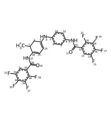 CC1CC(Nc2ccc(NC(=O)c3cc(F)c(F)c(F)c3F)cc2)=CC=C1NC(=O)c1cc(F)c(F)c(F)c1F